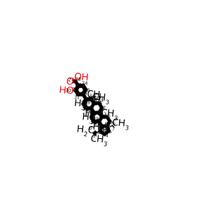 C=C(C)[C@@H]1CC[C@]2(CC)CC[C@]3(C)[C@H](CC[C@@H]4[C@@]5(C)CC=C(c6ccc(C(=O)O)c(O)c6)C(C)(C)[C@@H]5CC[C@]43C)[C@@H]12